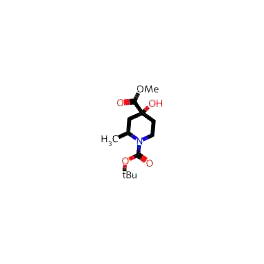 COC(=O)C1(O)CCN(C(=O)OC(C)(C)C)C(C)C1